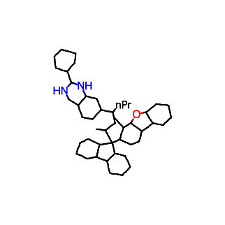 CCCC(CC(C)C1(C2CCC3C4CCCCC4OC3C2C)C2CCCCC2C2CCCCC21)C1CCC2CNC(C3CCCCC3)NC2C1